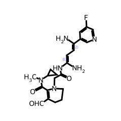 CN(C(=O)C1=C(C=O)CCCN1CC(=O)N/C(N)=C/C=C(\N)c1cncc(F)c1)C1CC1